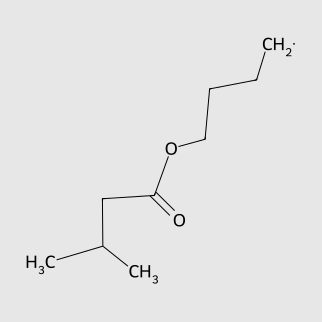 [CH2]CCCOC(=O)CC(C)C